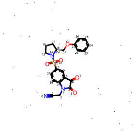 N#CCN1C(=O)C(=O)c2cc(S(=O)(=O)N3CCC[C@H]3COc3ccccc3)ccc21